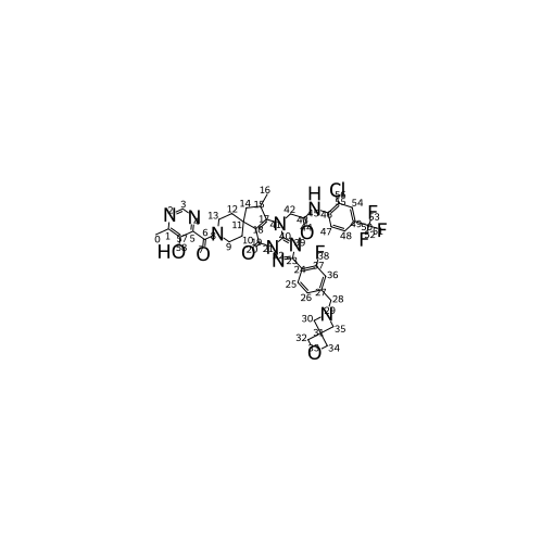 Cc1ncnc(C(=O)N2CCC3(CC2)CC(C)c2c3c(=O)n3nc(-c4ccc(CN5CC6(COC6)C5)cc4F)nc3n2CC(=O)Nc2ccc(C(F)(F)F)cc2Cl)c1O